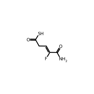 NC(=O)C(F)=CCC(=O)S